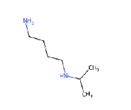 CC(C)NCCCCN